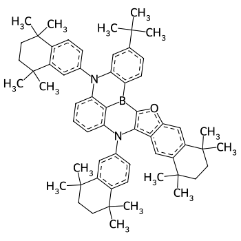 CC(C)(C)c1ccc2c(c1)N(c1ccc3c(c1)C(C)(C)CCC3(C)C)c1cccc3c1B2c1oc2cc4c(cc2c1N3c1ccc2c(c1)C(C)(C)CCC2(C)C)C(C)(C)CCC4(C)C